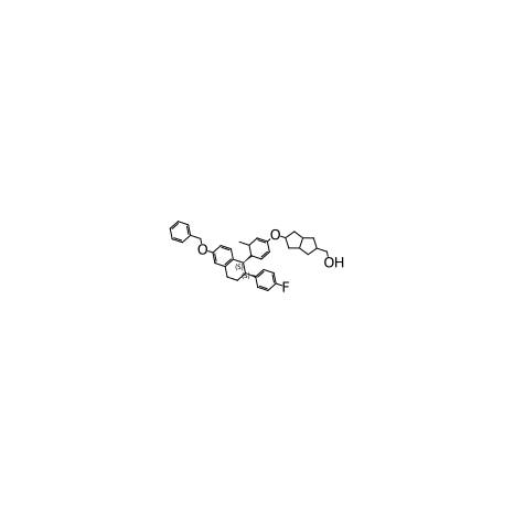 CC1C=C(OC2CC3CC(CO)CC3C2)C=CC1[C@@H]1c2ccc(OCc3ccccc3)cc2CC[C@@H]1c1ccc(F)cc1